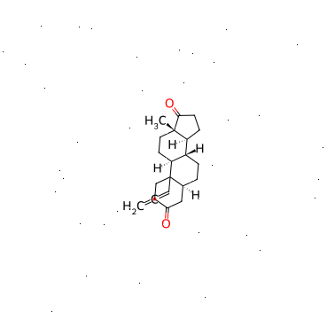 C=C=CC12CCC(=O)C[C@@H]1CC[C@@H]1[C@@H]2CC[C@]2(C)C(=O)CC[C@@H]12